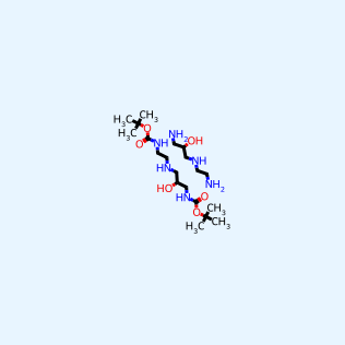 CC(C)(C)OC(=O)NCCNCC(O)CNC(=O)OC(C)(C)C.NCCNCC(O)CN